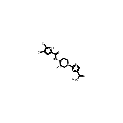 COC(=O)c1cnc(N2CC[C@@H](NC(=O)c3cc(Cl)c(Cl)[nH]3)[C@@H](F)C2)s1